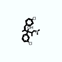 CC(=Cc1ccc(Cl)cc1)C(O)(c1cccc(Cl)c1)C(C)CN(C)C